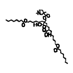 CCCCCCCC(=O)OCCCCCCC(CCCC(CCCCCCOC(=O)CCCCCCC)(COC(=O)C1(C)CCN(C)C1)C(=O)O)C(=O)O